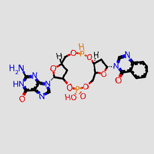 Nc1nc2c(ncn2[C@@H]2O[C@@H]3COPO[C@H]4C[C@H](n5cnc6ccccc6c5=O)OC4COP(=O)(O)OC2C3)c(=O)[nH]1